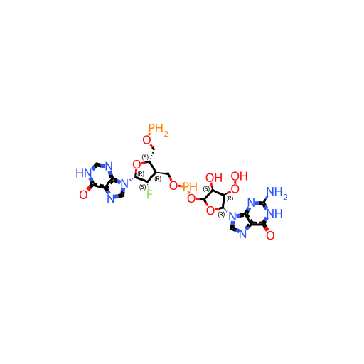 Nc1nc2c(ncn2[C@@H]2OC(OPOC[C@H]3[C@H](F)[C@H](n4cnc5c(=O)[nH]cnc54)O[C@@H]3COP)[C@@H](O)[C@H]2OO)c(=O)[nH]1